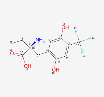 CC[C@](N)(Cc1cc(O)c(C(F)(F)F)cc1O)C(=O)O